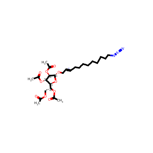 CC(=O)OC[C@@H](OC(C)=O)[C@@H]1O[C@@H](OC/C=C/CCCCCCCCCN=[N+]=[N-])[C@H](OC(C)=O)[C@H]1OC(C)=O